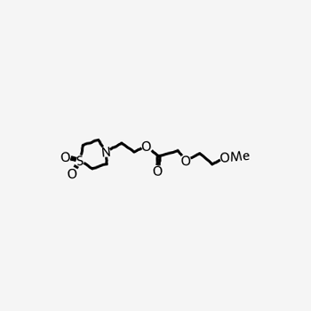 COCCOCC(=O)OCCN1CCS(=O)(=O)CC1